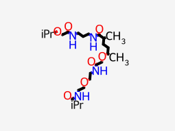 CC(C)OCC(=O)NCCCNC(=O)C(C)CCC(C)OCC(=O)NCCOCCNC(=O)C(C)C